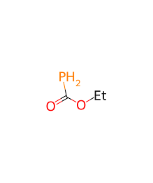 CCOC(=O)P